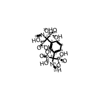 C=NC(c1cccc(C(N=C)(P(=O)(O)O)P(=O)(O)O)c1)(P(=O)(O)O)P(=O)(O)O